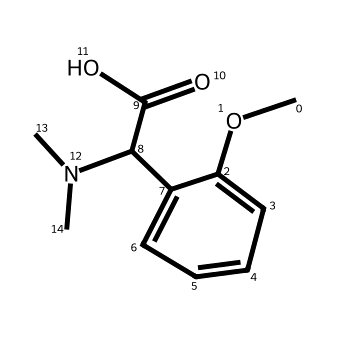 COc1ccccc1C(C(=O)O)N(C)C